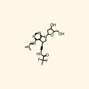 CN(C)/C=N/c1ncnc2c1C(C#CNC(=O)C(F)(F)F)CN2C1CC(O)C(CO)O1